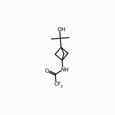 CC(C)(O)C12CC(NC(=O)C(F)(F)F)(C1)C2